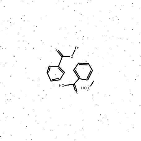 CC(=O)O.CCOC(=S)c1ccccc1.OC(=S)c1ccccc1